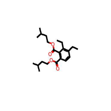 CCc1ccc(C(=O)OCCC(C)C)c(C(=O)OCCC(C)C)c1CC